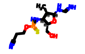 C[C@@H]1[C@H](N[PH](=S)OCCC#N)[C@@H](CO)O[C@H]1NC=N